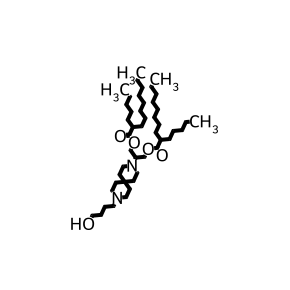 CCCCCCCCC(CCCCC)C(=O)OCC(COC(=O)C(CCCCC)CCCCCCCC)N1CCC2(CCN(CCCCO)CC2)CC1